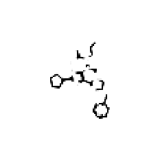 CCCN(C(C)=O)N1C(=O)N2C[C@@H](Cc3ccccc3)N=C2c2[nH]c(C3CCCC3)nc21